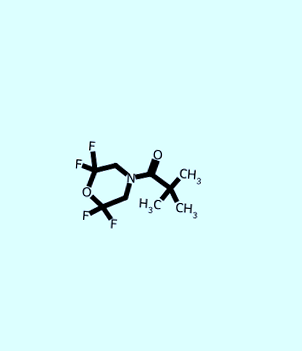 CC(C)(C)C(=O)N1CC(F)(F)OC(F)(F)C1